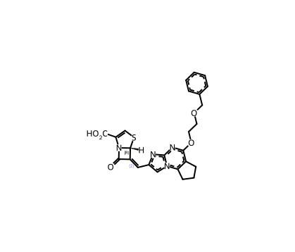 O=C(O)C1=CS[C@@H]2/C(=C\c3cn4c5c(c(OCCOCc6ccccc6)nc4n3)CCC5)C(=O)N12